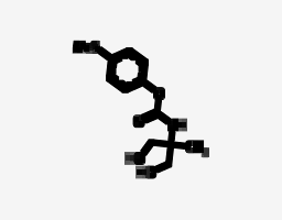 CSc1ccc(OC(=O)NC(C)(CO)CO)cc1